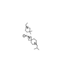 CCN1C[C@@H](C(=O)N2CC3(CCN(CC(C)C)CC3)C2)C(C)(C)C1